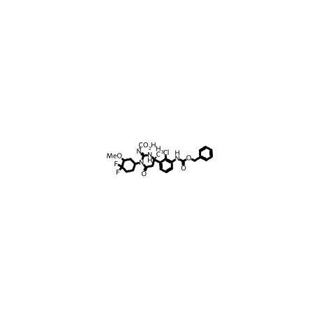 COC1CC(N2C(=O)C[C@@](C)(c3cccc(NC(=O)OCc4ccccc4)c3Cl)N/C2=N\C(=O)O)CCC1(F)F